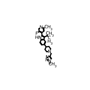 Cc1cc(-c2[nH]c3ccc(C4CCN(Cc5cn(C)nn5)CC4)cc3c2C(C)C)c(F)cn1